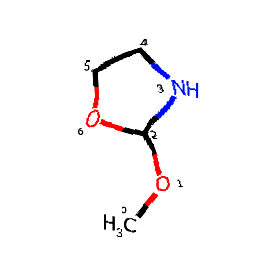 COC1NCCO1